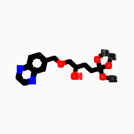 CCO[Si](CCC(O)COCc1ccc2nccnc2c1)(OCC)OCC